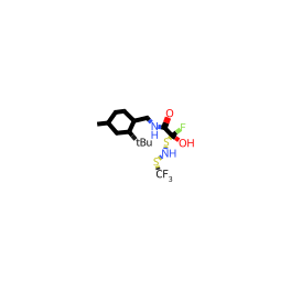 CC1CCC(CNC(=O)C(O)(F)SNSC(F)(F)F)C(C(C)(C)C)C1